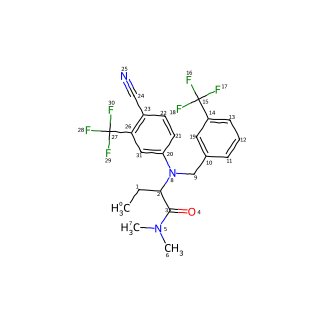 CCC(C(=O)N(C)C)N(Cc1cccc(C(F)(F)F)c1)c1ccc(C#N)c(C(F)(F)F)c1